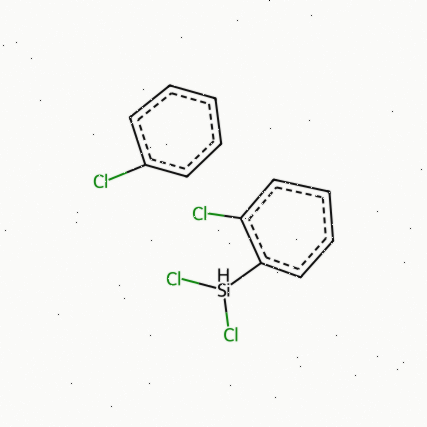 Clc1ccccc1.Clc1ccccc1[SiH](Cl)Cl